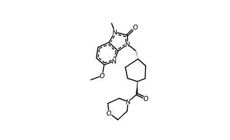 COc1ccc2c(n1)n(C[C@H]1CC[C@H](C(=O)N3CCOCC3)CC1)c(=O)n2C